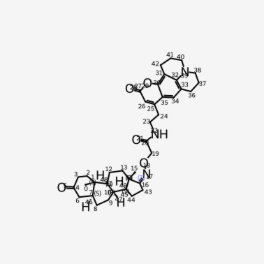 C[C@]12CCC(=O)C[C@@H]1CC[C@@H]1[C@@H]2CC[C@]2(C)/C(=N\OCC(=O)NCCc3cc(=O)oc4c5c6c(cc34)CCCN6CCC5)CC[C@@H]12